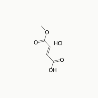 COC(=O)C=CC(=O)O.Cl